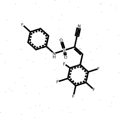 N#C/C(=C/c1c(F)c(F)c(F)c(F)c1F)S(=O)(=O)Nc1ccc(F)cc1